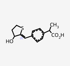 CC(C(=O)O)c1ccc(/C=C2\SCCC2O)cc1